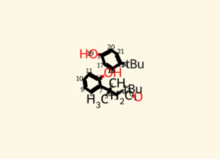 C=O.CC(C)(C)CC(C)(C)c1ccccc1O.CC(C)(C)c1ccc(O)cc1